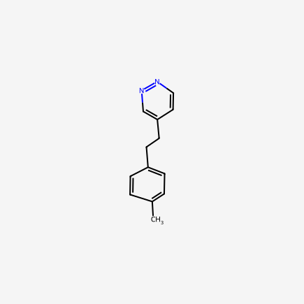 Cc1ccc(CCc2ccnnc2)cc1